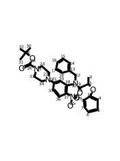 CC(Oc1ccccc1)C(=O)N(Cc1ccccc1)c1cc(N2CCN(C(=O)OC(C)(C)C)CC2)ccc1[N+](=O)[O-]